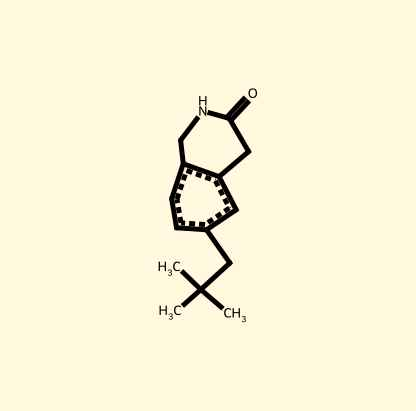 CC(C)(C)Cc1ccc2c(c1)CC(=O)NC2